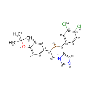 CC(C)(C)Oc1ccc(C(Cn2ccnc2)SCc2ccc(Cl)c(Cl)c2)cc1